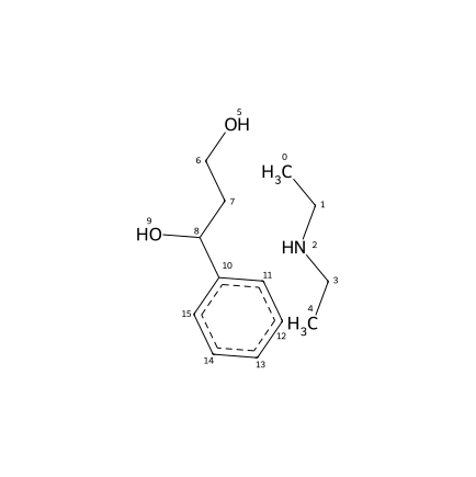 CCNCC.OCCC(O)c1ccccc1